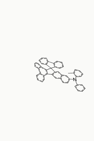 Cc1ccccc1N(c1ccccc1)c1ccc2cc3c(cc2c1)C1(c2ccccc2-c2ccccc21)c1c-3c2ccccc2c2ccccc12